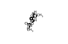 COCc1nc(Cl)cc(Oc2ccc3c(ccc4oc5c(c43)NCC(C)NC5=O)n2)n1